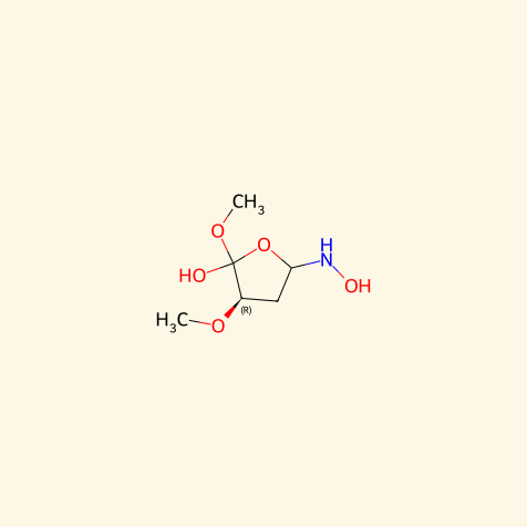 CO[C@@H]1CC(NO)OC1(O)OC